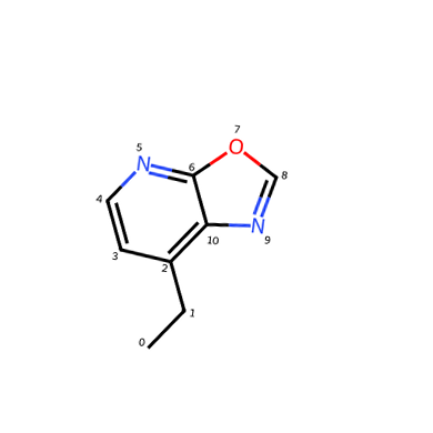 CCc1ccnc2ocnc12